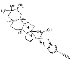 C[C@H]1C[C@H]2[C@H](CC[C@@H]3[C@@H]2CC[C@]2(C)[C@@H]([C@](C)(CO)Cn4cc(C#N)cn4)CC[C@@H]32)C[C@]1(C)O